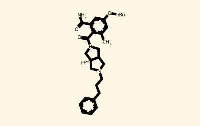 CCCCOc1cc(C)c(C(=O)N2CC3CN(CC[CH]c4ccccc4)C[C@H]3C2)c(C(N)=O)c1